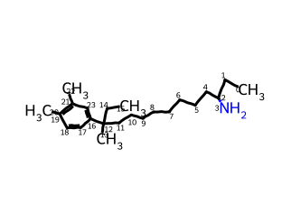 CCC(N)CCCCCCCCC(C)(CC)c1ccc(C)c(C)c1